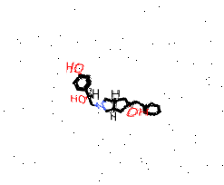 [2H]C(O)(CN1C[C@@H]2C[C@@](O)(Cc3ccccc3)C[C@@H]2C1)c1ccc(O)cc1